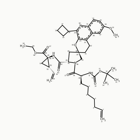 C=CCCCCC[C@H](NC(=O)OC(C)(C)C)C(=O)N1C[C@@]2(CCc3c(c(C4CCC4)nc4ccc(OC)cc34)O2)C[C@H]1C(=O)N[C@]1(C(=O)OCC)C[C@H]1C=C